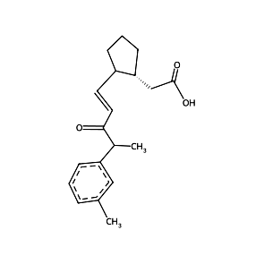 Cc1cccc(C(C)C(=O)/C=C/C2CCC[C@@H]2CC(=O)O)c1